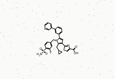 NS(=O)(=O)c1ccc(Cn2c(-c3cccc(-c4cccnc4)c3)cc(-c3nc(C(=O)O)cs3)c2CC2CC2)cc1F